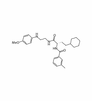 COc1ccc(NCCNC(=O)[C@H](CCC2CCCCC2)NC(=O)c2cccc(C)c2)cc1